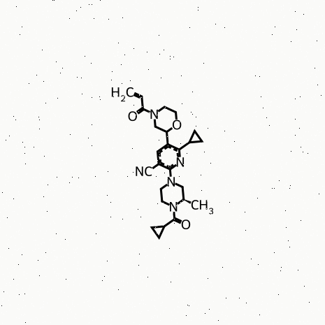 C=CC(=O)N1CCOC(c2cc(C#N)c(N3CCN(C(=O)C4CC4)[C@H](C)C3)nc2C2CC2)C1